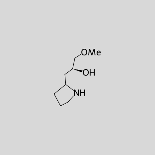 COC[C@@H](O)CC1CCCN1